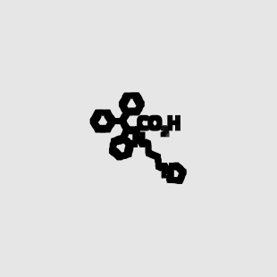 O=C(O)c1c(C(c2ccccc2)c2ccccc2)c2ccccc2n1CCCCN1CCCC1